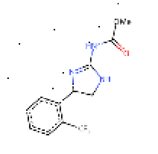 COC(=O)NC1=NC(c2ccccc2C(F)(F)F)CN1